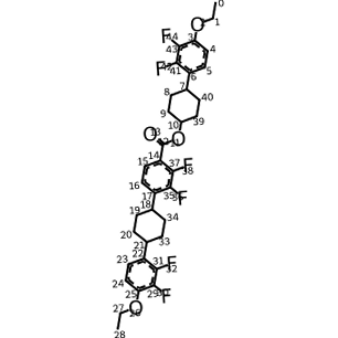 CCOc1ccc(C2CCC(OC(=O)c3ccc(C4CCC(c5ccc(OCC)c(F)c5F)CC4)c(F)c3F)CC2)c(F)c1F